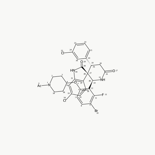 CC(=O)N1CCC(Oc2ccc(Br)c(F)c2[C@@H]2NC(=O)C[C@@H](c3cccc(Cl)c3)[C@]23C(=O)Nc2cc(Cl)ccc23)CC1